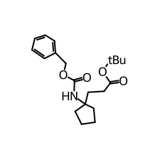 CC(C)(C)OC(=O)CCC1(NC(=O)OCc2ccccc2)CCCC1